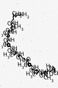 CN(CCCN)CCCNC(=O)c1cc(NC(=O)c2cc(NC(=O)c3cc(NC(=O)c4nc(NC(=O)CCCNC(=O)c5cc(NC(=O)c6cc(NC(=O)c7cc(NC(=O)c8nccn8C)cn7C)cn6C)cn5C)cn4C)cn3C)cn2C)cn1C